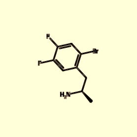 C[C@@H](N)Cc1cc(F)c(F)cc1Br